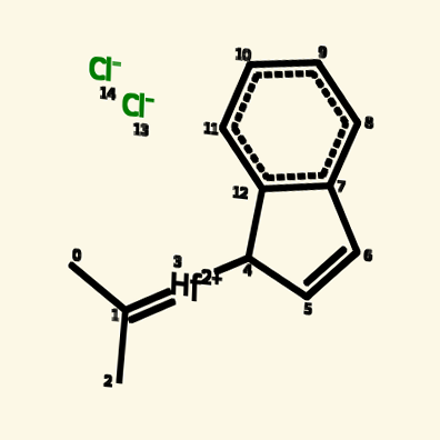 C[C](C)=[Hf+2][CH]1C=Cc2ccccc21.[Cl-].[Cl-]